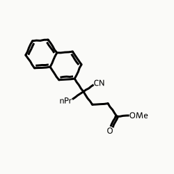 CCCC(C#N)(CCC(=O)OC)c1ccc2ccccc2c1